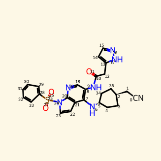 N#CC[C@H]1CC[C@H](Nc2c(NC(=O)Cc3ccn[nH]3)cnc3c2ccn3S(=O)(=O)c2ccccc2)CC1